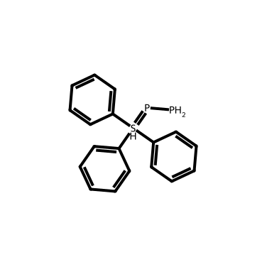 PP=[SH](c1ccccc1)(c1ccccc1)c1ccccc1